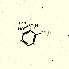 N.O=C(O)c1ccccc1.O=S(=O)(O)O